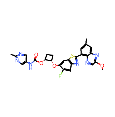 COc1cnc2c(-c3nc4cc(F)c(O[C@H]5CC[C@H]5OC(=O)Nc5cnc(C)nc5)cc4s3)cc(C)cc2n1